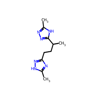 Cc1nc(CCC(C)c2nnc(C)[nH]2)n[nH]1